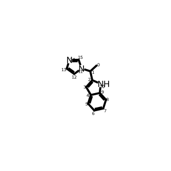 CC(c1cc2ccccc2[nH]1)n1ccnc1